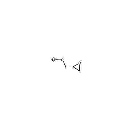 POC[C@H]1CO1